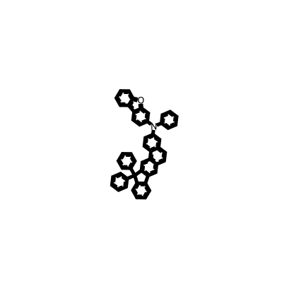 c1ccc(N(c2ccc3c(ccc4cc5c(cc43)C(c3ccccc3)(c3ccccc3)c3ccccc3-5)c2)c2ccc3c(c2)oc2ccccc23)cc1